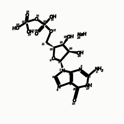 Nc1nc2c(ncn2[C@@H]2O[C@H](COP(=O)(O)OP(=O)(O)O)[C@@H](O)[C@H]2O)c(=O)[nH]1.[NaH]